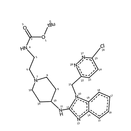 CC(C)(C)OC(=O)NCCN1CCC(Nc2nc3ccccc3n2Cc2ccc(Cl)nn2)CC1